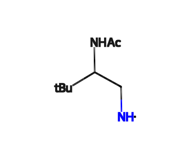 CC(=O)NC(C[NH])C(C)(C)C